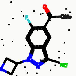 COC(=O)c1cc2c(C)nn(C3CNC3)c2cc1F.Cl